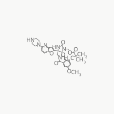 COc1ccc2c(c1)C(=O)N(C[C@@]1(c3cc4nc(N5CCNCC5)ccc4o3)NC(=O)N(COC(=O)C(C)(C)C)C1=O)C2